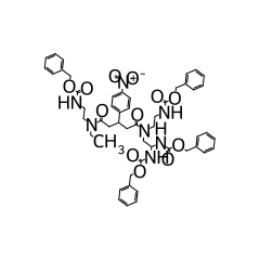 CCN(CCNC(=O)OCc1ccccc1)C(=O)CC(CC(=O)N(CCNC(=O)OCc1ccccc1)CC(NC(=O)OCc1ccccc1)NC(=O)OCc1ccccc1)c1ccc([N+](=O)[O-])cc1